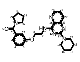 O=C(c1cccc(OCCNc2nc(N3CCCCC3)nc3cccnc23)c1)N1CCCC1